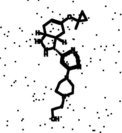 CC1(OC2=CC[C@H]3NN[C@@H](c4cc(N5CCN(CCO)CC5)ncn4)[C@H]3C2)CC1